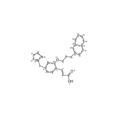 O=C(O)C=Cc1ccc(Cn2cccn2)cc1OCCCc1ccc2ccccc2c1